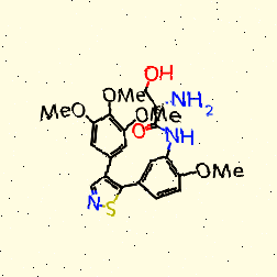 COc1ccc(-c2sncc2-c2cc(OC)c(OC)c(OC)c2)cc1NC(=O)[C@@H](N)CO